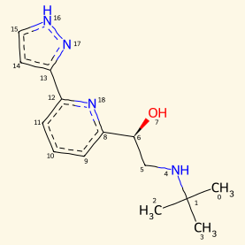 CC(C)(C)NC[C@H](O)c1cccc(-c2cc[nH]n2)n1